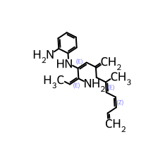 C=C/C=C\C=C(/C)CC(=C)/C=C(Nc1ccccc1N)\C(N)=C/C